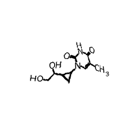 Cc1cn(C2CC2C(O)CO)c(=O)[nH]c1=O